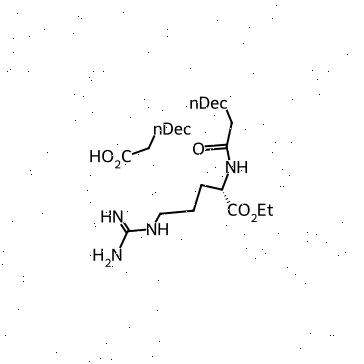 CCCCCCCCCCCC(=O)N[C@@H](CCCNC(=N)N)C(=O)OCC.CCCCCCCCCCCC(=O)O